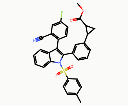 COC(=O)C1CC1c1cccc(-c2c(-c3ccc(F)cc3C#N)c3ccccc3n2S(=O)(=O)c2ccc(C)cc2)c1